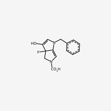 O=C(O)N1C=C2N(Cc3ccccc3)C=C(O)C2(F)C1